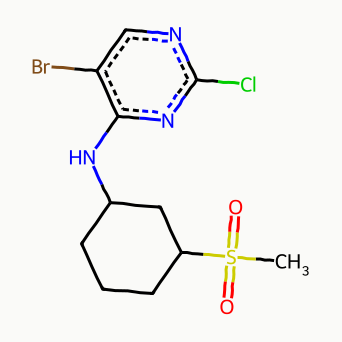 CS(=O)(=O)C1CCCC(Nc2nc(Cl)ncc2Br)C1